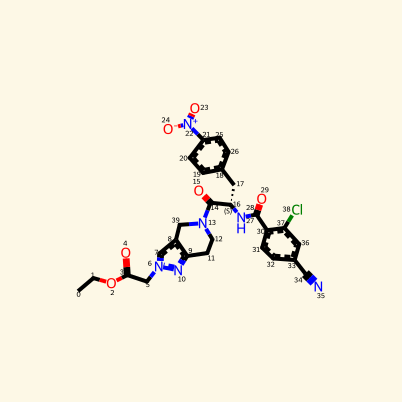 CCOC(=O)Cn1cc2c(n1)CCN(C(=O)[C@H](Cc1ccc([N+](=O)[O-])cc1)NC(=O)c1ccc(C#N)cc1Cl)C2